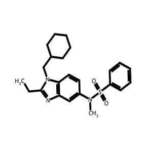 CCc1nc2cc(N(C)S(=O)(=O)c3ccccc3)ccc2n1CC1CCCCC1